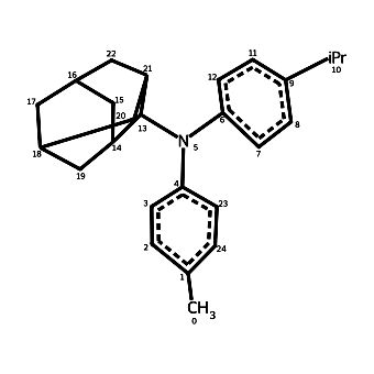 Cc1ccc(N(c2ccc(C(C)C)cc2)C2C3CC4CC(C3)CC2C4)cc1